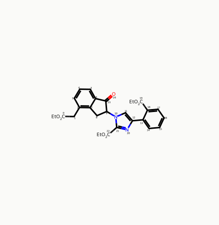 CCOC(=O)Cc1cccc2c1CC(n1cc(-c3ccccc3C(=O)OCC)nc1C(=O)OCC)C2=O